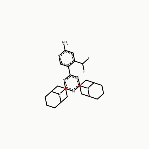 Nc1cc(C(F)F)c(-c2nc(N3C4CCCC3COC4)nc(N3C4CCCC3COC4)n2)cn1